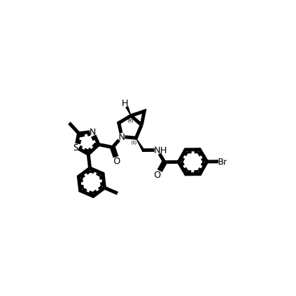 Cc1cccc(-c2sc(C)nc2C(=O)N2C[C@@H]3CC3[C@H]2CNC(=O)c2ccc(Br)cc2)c1